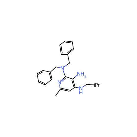 Cc1cc(NCC(C)C)c(N)c(N(Cc2ccccc2)Cc2ccccc2)n1